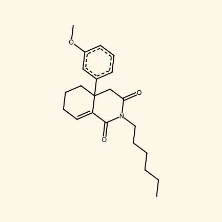 CCCCCCN1C(=O)CC2(c3cccc(OC)c3)CCCC=C2C1=O